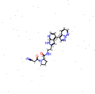 N#CCC(=O)N1CCCC1C(=O)NCCc1cc2c(-c3cnn4ncccc34)ccnc2[nH]1